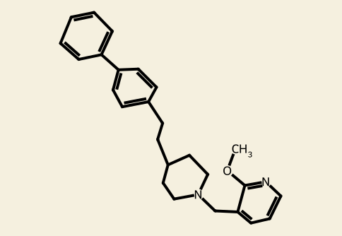 COc1ncccc1CN1CCC(CCc2ccc(-c3ccccc3)cc2)CC1